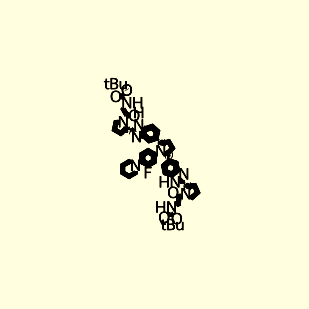 CC(C)(C)OC(=O)NCC(=O)N1CCC[C@H]1c1nc2cc([C@@H]3CC[C@@H](c4ccc5[nH]c([C@@H]6CCCN6C(=O)CNC(=O)OC(C)(C)C)nc5c4)N3c3ccc(N4CCCCC4)c(F)c3)ccc2[nH]1